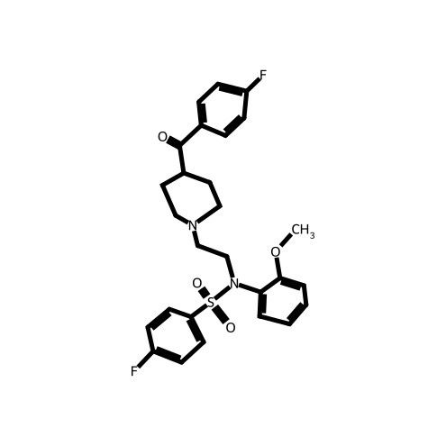 COc1ccccc1N(CCN1CCC(C(=O)c2ccc(F)cc2)CC1)S(=O)(=O)c1ccc(F)cc1